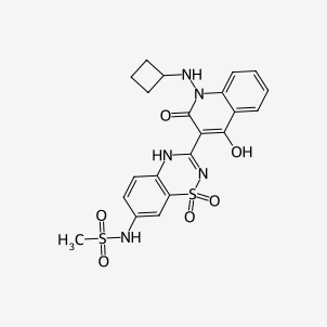 CS(=O)(=O)Nc1ccc2c(c1)S(=O)(=O)N=C(c1c(O)c3ccccc3n(NC3CCC3)c1=O)N2